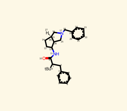 CC(C)(C)C(Cc1ccccc1)C(=O)NC1CC[C@H]2CN(Cc3ccccc3)CC12